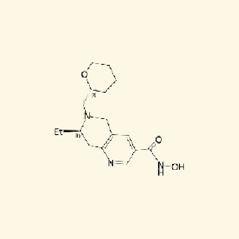 CC[C@@H]1Cc2ncc(C(=O)NO)cc2CN1C[C@H]1CCCCO1